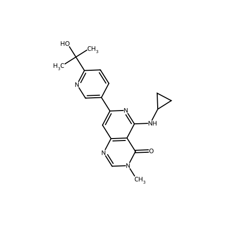 Cn1cnc2cc(-c3ccc(C(C)(C)O)nc3)nc(NC3CC3)c2c1=O